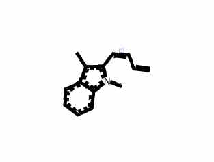 C=C/C=C\c1c(C)c2ccccc2n1C